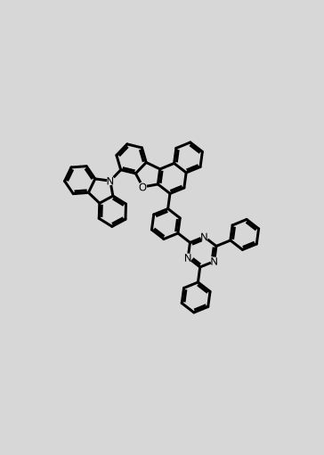 c1ccc(-c2nc(-c3ccccc3)nc(-c3cccc(-c4cc5ccccc5c5c4oc4c(-n6c7ccccc7c7ccccc76)cccc45)c3)n2)cc1